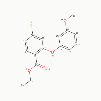 CCOC(=O)c1ccc(F)cc1Oc1cccc(OC)c1